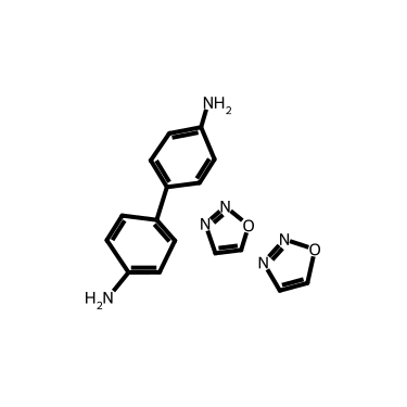 Nc1ccc(-c2ccc(N)cc2)cc1.c1conn1.c1conn1